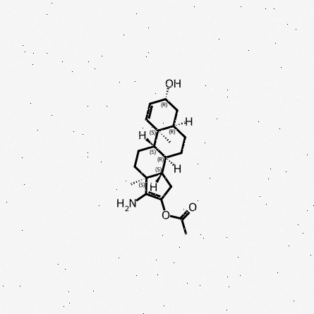 CC(=O)OC1=C(N)[C@@]2(C)CC[C@H]3[C@@H](CC[C@@H]4C[C@@H](O)C=C[C@@]43C)[C@@H]2C1